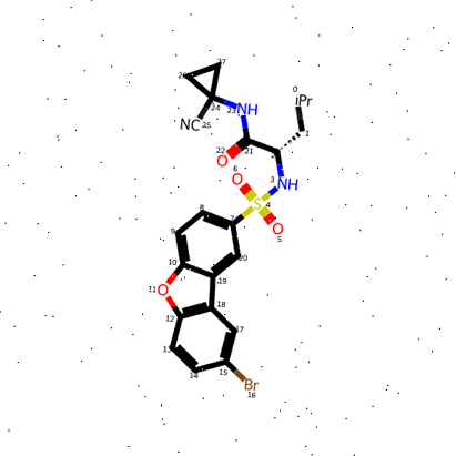 CC(C)C[C@H](NS(=O)(=O)c1ccc2oc3ccc(Br)cc3c2c1)C(=O)NC1(C#N)CC1